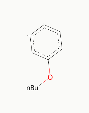 CCCCOc1c[c][c]cc1